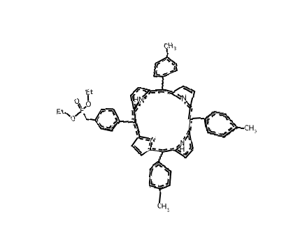 CCOP(=O)(Cc1ccc(-c2c3nc(c(-c4ccc(C)cc4)c4ccc([nH]4)c(-c4ccc(C)cc4)c4nc(c(-c5ccc(C)cc5)c5ccc2[nH]5)C=C4)C=C3)cc1)OCC